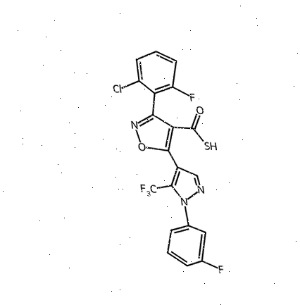 O=C(S)c1c(-c2c(F)cccc2Cl)noc1-c1cnn(-c2cccc(F)c2)c1C(F)(F)F